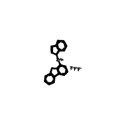 C1=C[CH]([Zr+3][c]2cccc3c2Cc2ccccc2-3)c2ccccc21.[F-].[F-].[F-]